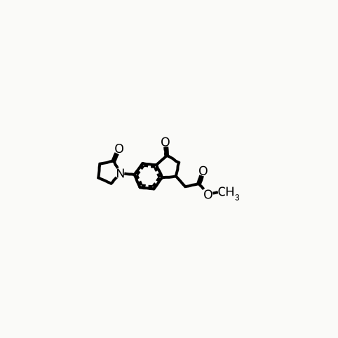 COC(=O)CC1CC(=O)c2cc(N3CCCC3=O)ccc21